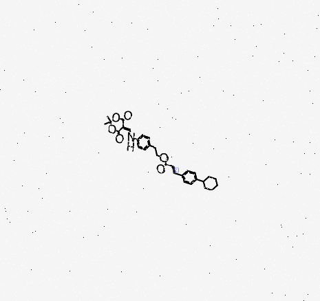 CC1(C)OC(=O)C(=CNc2ccc(CCOC(=O)/C=C/c3ccc(C4CCCCC4)cc3)cc2)C(=O)O1